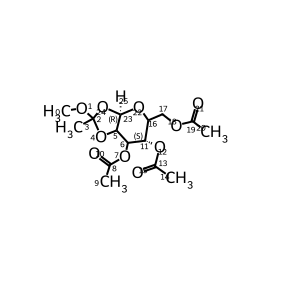 COC1(C)OC2C(OC(C)=O)[C@@H](OC(C)=O)C(COC(C)=O)O[C@@H]2O1